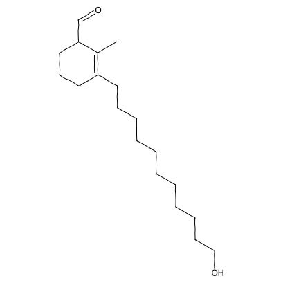 CC1=C(CCCCCCCCCCCO)CCCC1C=O